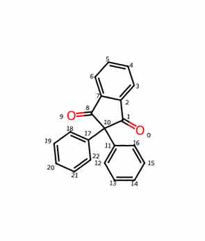 O=C1c2ccccc2C(=O)C1(c1ccccc1)c1ccccc1